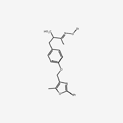 CCO/N=C(\C)C(Cc1ccc(OCc2nc(C(C)C)oc2C)cc1)C(=O)O